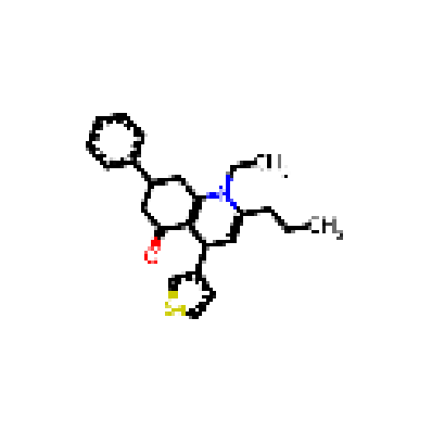 CCCC1=CC(c2ccsc2)C2=C(CC(c3ccccc3)CC2=O)N1CC